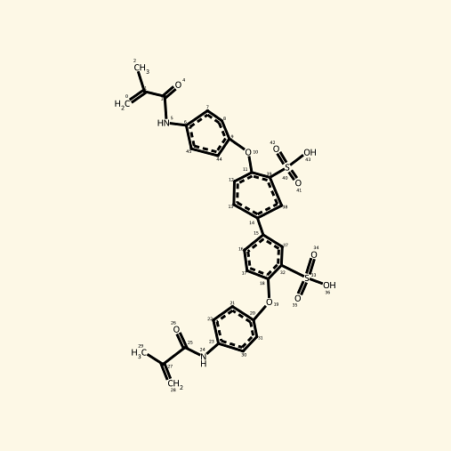 C=C(C)C(=O)Nc1ccc(Oc2ccc(-c3ccc(Oc4ccc(NC(=O)C(=C)C)cc4)c(S(=O)(=O)O)c3)cc2S(=O)(=O)O)cc1